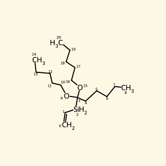 C=C[SiH2]C(CCCCC)(OCCCCC)OCCCCC